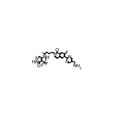 C[C@@H](CCCn1ccc2cc(-c3ncc(CN)cn3)c(F)cc2c1=O)Nc1cn[nH]c(=O)c1C(F)(F)F